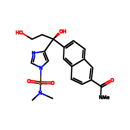 CNC(=O)c1ccc2cc([C@@](O)(CCO)c3cn(S(=O)(=O)N(C)C)cn3)ccc2c1